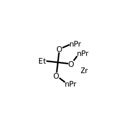 [CH2]CC(OCCC)(OCCC)OCCC.[Zr]